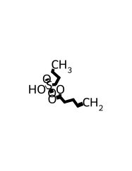 C=CCCC(=O)OC(CCC)S(=O)(=O)O